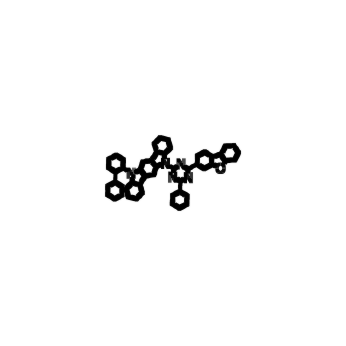 c1ccc(-c2nc(-c3ccc4c(c3)oc3ccccc34)nc(-n3c4ccccc4c4cc5c(cc43)c3ccccc3n5-c3ccccc3-c3ccccc3)n2)cc1